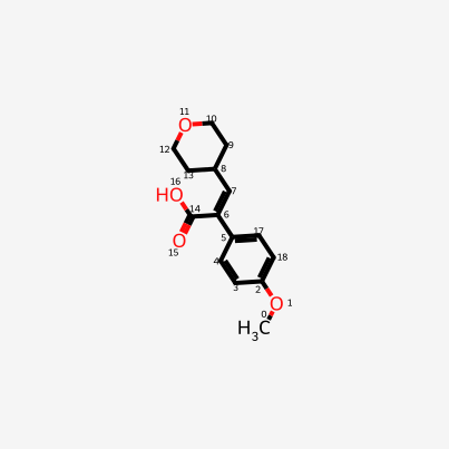 COc1ccc(C(=CC2CCOCC2)C(=O)O)cc1